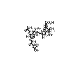 CC(C)C[C@H](NC(=O)CNC(=O)[C@H](CC(C)C)NC(=O)[C@H](CCC(N)=O)NC(=O)CNC(=O)[C@@H]1C[C@@H](O)CN1)C(=O)N[C@@H](C)C(=O)NCC(=O)O